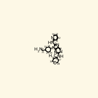 CC1(Nc2ncc3nc(Nc4ccccn4)n([C@H]4CC[C@H](CN)CC4)c3n2)CCOCC1